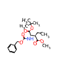 CC[C@@H](C(=O)OC)[C@H](NC(=O)OCc1ccccc1)C(=O)OC(C)(C)C